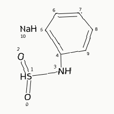 O=[SH](=O)Nc1cc[c]cc1.[NaH]